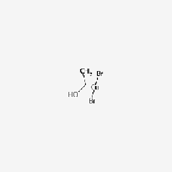 CCO.[Br][Cu][Br]